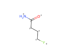 NC(=O)[CH]CCF